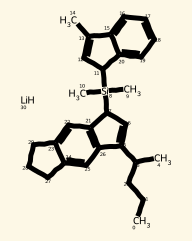 CCCC(C)C1=CC([Si](C)(C)C2C=C(C)c3ccccc32)c2cc3c(cc21)CCC3.[LiH]